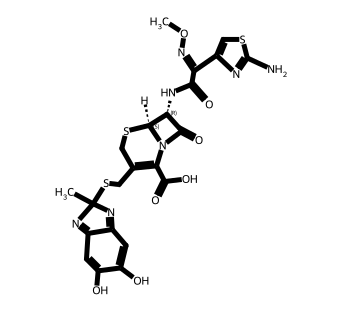 CON=C(C(=O)N[C@@H]1C(=O)N2C(C(=O)O)=C(CSC3(C)N=c4cc(O)c(O)cc4=N3)CS[C@@H]12)c1csc(N)n1